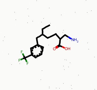 CCC(CCC(CN)C(=O)O)Cc1cccc(C(F)(F)F)c1